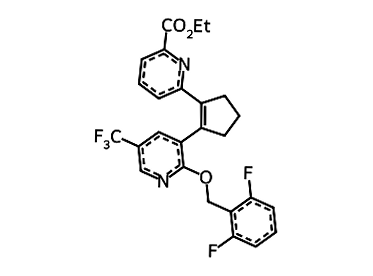 CCOC(=O)c1cccc(C2=C(c3cc(C(F)(F)F)cnc3OCc3c(F)cccc3F)CCC2)n1